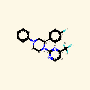 Fc1ccc([C@@H]2CN(c3ccccc3)CCN2c2nccc(C(F)(F)F)n2)cc1